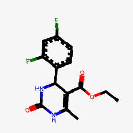 CCOC(=O)C1=C(C)NC(=O)NC1c1ccc(F)cc1F